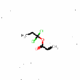 C=CC(=O)OC(Cl)(Cl)CC